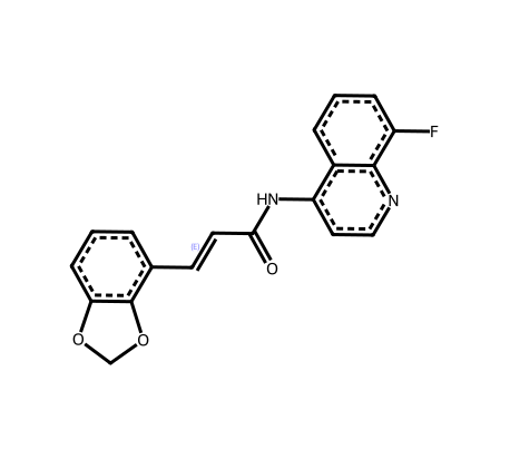 O=C(/C=C/c1cccc2c1OCO2)Nc1ccnc2c(F)cccc12